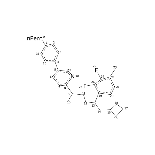 CCCCCc1ccc(-c2ccc(C(C)CCC(CC3CCC3)c3ccc(C)c(F)c3F)nc2)cc1